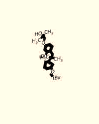 CC(C)(C)COc1cccc(C(C)(C)Cc2ccc(OCC(C)(C)O)cc2C(C)(C)C)c1